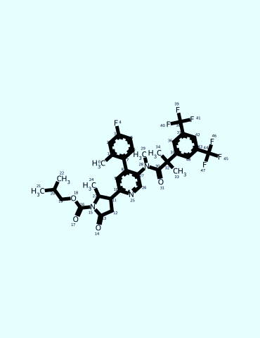 Cc1cc(F)ccc1-c1cc(C2CC(=O)N(C(=O)OCC(C)C)C2C)ncc1N(C)C(=O)C(C)(C)c1cc(C(F)(F)F)cc(C(F)(F)F)c1